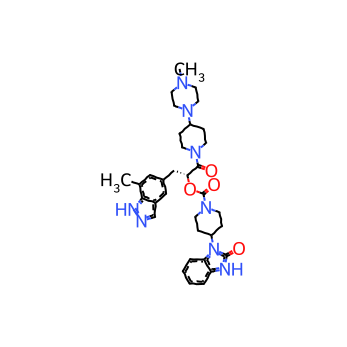 Cc1cc(C[C@@H](OC(=O)N2CCC(n3c(=O)[nH]c4ccccc43)CC2)C(=O)N2CCC(N3CCN(C)CC3)CC2)cc2cn[nH]c12